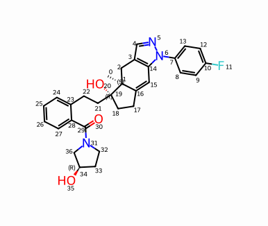 C[C@]12Cc3cnn(-c4ccc(F)cc4)c3C=C1CC[C@@]2(O)CCc1ccccc1C(=O)N1CC[C@@H](O)C1